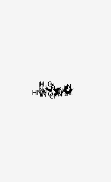 CCN(C(=O)CN1N=CNN1)c1cn(-c2cccnc2)nc1Cl